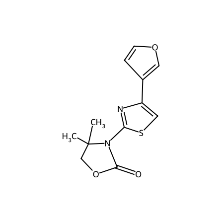 CC1(C)COC(=O)N1c1nc(-c2ccoc2)cs1